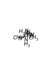 Cc1nnc(Cc2nc(N)nc(OC[C@H]3C[C@@H]3c3ccc(Cl)cn3)c2F)s1.N